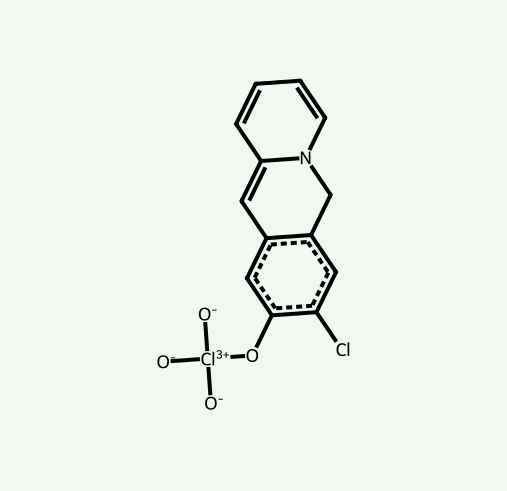 [O-][Cl+3]([O-])([O-])Oc1cc2c(cc1Cl)CN1C=CC=CC1=C2